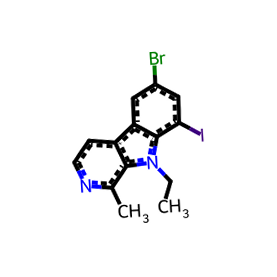 CCn1c2c(I)cc(Br)cc2c2ccnc(C)c21